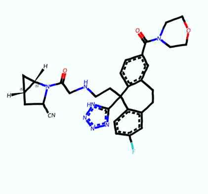 N#CC1C[C@@H]2C[C@@H]2N1C(=O)CNCCC1(c2nnn[nH]2)c2ccc(F)cc2CCc2cc(C(=O)N3CCOCC3)ccc21